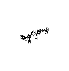 CN(C)C(=O)CCNc1ccc(Nc2nccc(-c3ccc(OC4CCOCC4)c(C#N)c3)n2)cc1